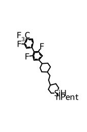 CCCCC[SiH]1CCC(CCC2CCC(c3cc(F)c(-c4ccc(C(F)(F)F)c(F)c4)c(F)c3)CC2)CC1